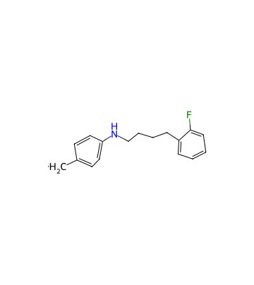 [CH2]c1ccc(NCCCCc2ccccc2F)cc1